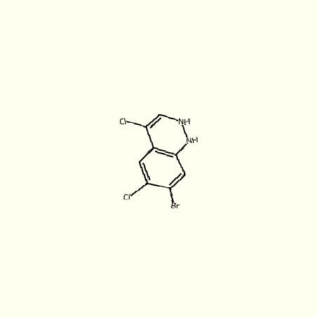 ClC1=CNNc2cc(Br)c(Cl)cc21